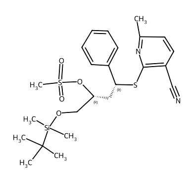 Cc1ccc(C#N)c(S[C@H](C[C@H](CO[Si](C)(C)C(C)(C)C)OS(C)(=O)=O)c2ccccc2)n1